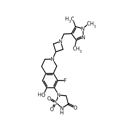 Cc1nn(C)c(C)c1CN1CC(N2CCc3cc(O)c(N4CC(=O)NS4(=O)=O)c(F)c3C2)C1